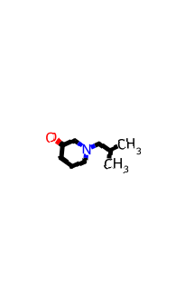 CC(C)CN1CCCC(=O)C1